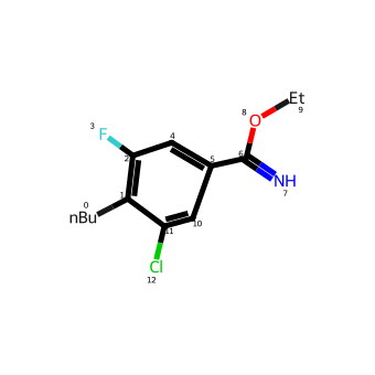 CCCCc1c(F)cc(C(=N)OCC)cc1Cl